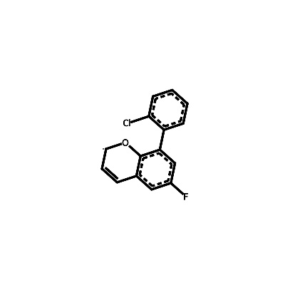 Fc1cc2c(c(-c3ccccc3Cl)c1)O[CH]C=C2